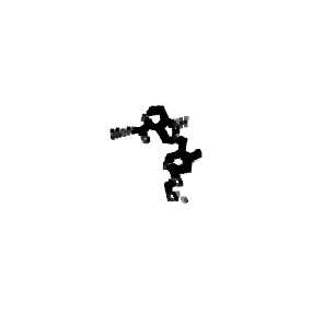 CNC(=O)C1=NC=CC2NN(Cc3cnc(OCC(F)(F)F)cc3C)C=C12